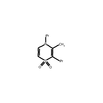 CC1=C(C(C)C)S(=O)(=O)C=CN1C(C)C